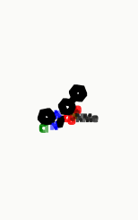 CNS(=O)(=O)C1(Oc2cnc3c(Cl)cccc3n2)C=CC=C(c2ccccc2)C1